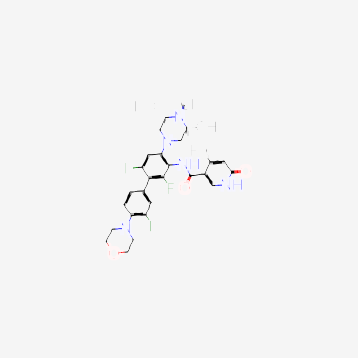 C[C@@H]1CN(c2cc(F)c(-c3ccc(N4CCOCC4)c(F)c3)c(F)c2NC(=O)c2c[nH]c(=O)cc2C(F)(F)F)C[C@H](C)N1C